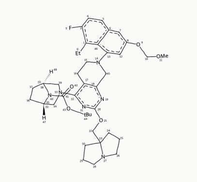 CCc1c(F)ccc2cc(OCOC)cc(N3CCc4c(nc(OCC56CCCN5CCC6)nc4N4C[C@@H]5CC[C@@H](C4)N5C(=O)OC(C)(C)C)C3)c12